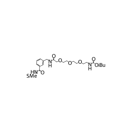 CSNC(=O)c1cccc(CNC(=O)COCCOCCOCCNC(=O)OCC(C)C)c1